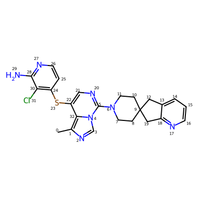 Cc1ncn2c(N3CCC4(CC3)Cc3cccnc3C4)ncc(Sc3ccnc(N)c3Cl)c12